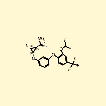 NC(=O)[C@@H]1[C@@H](I)[C@H]1Oc1cccc(Oc2ccc(C(F)(F)F)cc2OC(F)F)c1